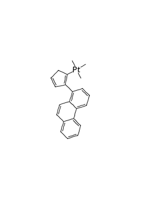 [CH3][Pt]([CH3])([CH3])[C]1=C(c2cccc3c2ccc2ccccc23)C=CC1